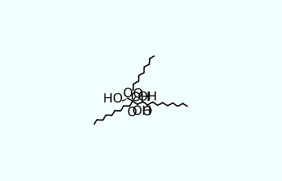 CCCCCCCCC(=O)O[C@H](CO)[C@@](O)(C(=O)CCCCCCCC)[C@@H](O)C(O)C(=O)CCCCCCCC